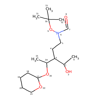 CC(O)C(CCN(C=O)OC(C)(C)C)C(C)OC1CCCCO1